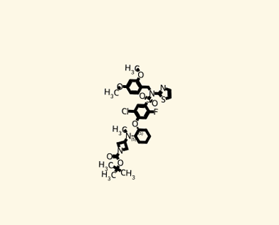 COc1ccc(CN(c2nccs2)S(=O)(=O)c2cc(Cl)c(O[C@H]3CCCC[C@@H]3N(C)C3CN(C(=O)OC(C)(C)C)C3)cc2F)c(OC)c1